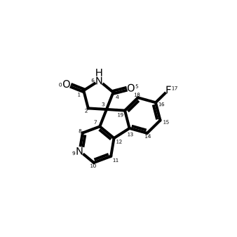 O=C1CC2(C(=O)N1)c1cnccc1-c1ccc(F)cc12